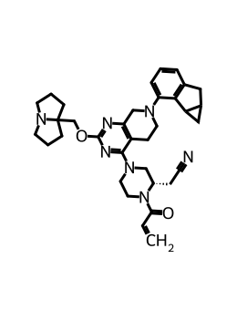 C=CC(=O)N1CCN(c2nc(OCC34CCCN3CCC4)nc3c2CCN(c2cccc4c2C2CC2C4)C3)C[C@@H]1CC#N